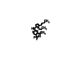 C/C=C\n1c(/C=C/CC)ccc1Nc1ncc(C(F)(F)F)c(NC)n1